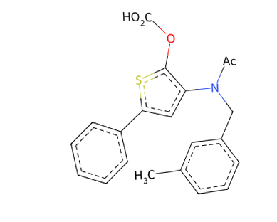 CC(=O)N(Cc1cccc(C)c1)c1cc(-c2ccccc2)sc1OC(=O)O